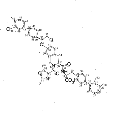 Cc1nc(C(=O)N2Cc3cc4c(cc3C[C@H]2C(=O)NC(Cc2ccc(-c3ccnc(C)c3C)cc2)C(=O)O)OC[C@H](c2ccc(-c3cccc(Cl)c3)cc2)O4)c(C)o1